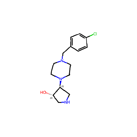 O[C@H]1CNC[C@@H]1N1CCN(Cc2ccc(Cl)cc2)CC1